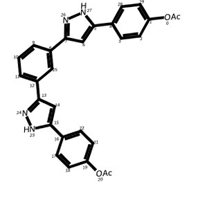 CC(=O)Oc1ccc(-c2cc(-c3cccc(-c4cc(-c5ccc(OC(C)=O)cc5)[nH]n4)c3)n[nH]2)cc1